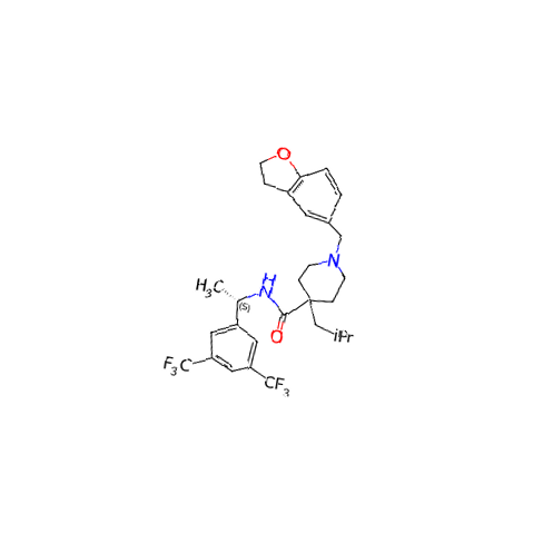 CC(C)CC1(C(=O)N[C@@H](C)c2cc(C(F)(F)F)cc(C(F)(F)F)c2)CCN(Cc2ccc3c(c2)CCO3)CC1